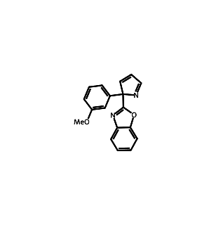 COc1cccc(C2(c3nc4ccccc4o3)C=CC=N2)c1